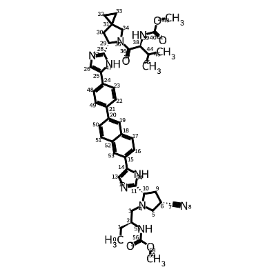 CC[C@@H](CN1C[C@@H](C#N)C[C@H]1c1ncc(-c2ccc3cc(-c4ccc(-c5cnc([C@@H]6CC7(CC7)CN6C(=O)[C@@H](NC(=O)OC)C(C)C)[nH]5)cc4)ccc3c2)[nH]1)NC(=O)OC